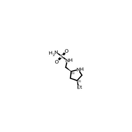 CC[C@@H]1CN[C@H](CNS(N)(=O)=O)C1